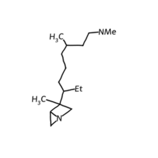 CCC(CCCC(C)CCNC)C1(C)CN2CC21